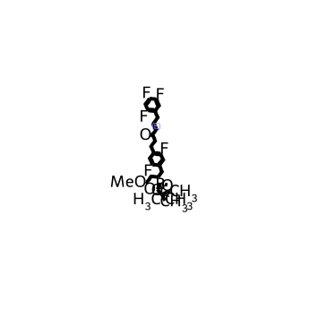 COC(=O)CC(Cc1cc(F)c(CCC(=O)/C=C/Cc2cc(F)c(F)cc2F)cc1F)B1OC(C)(C)C(C)(C)O1